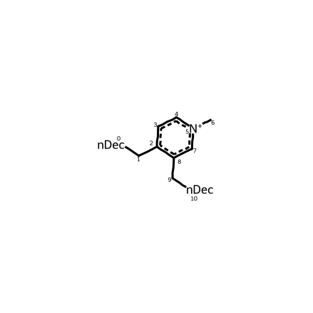 CCCCCCCCCCCc1cc[n+](C)cc1CCCCCCCCCCC